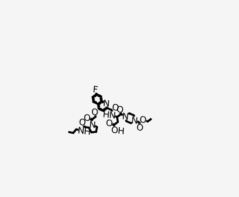 CCCNC(=O)C1CCCN1C(=O)COc1cc(C(=O)NC(CC(=O)O)C(=O)N2CCN(C(=O)OCC)CC2)nc2cc(F)ccc12